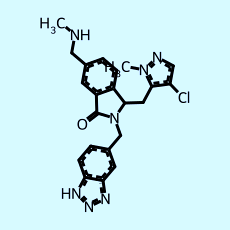 CNCc1ccc2c(c1)C(=O)N(Cc1ccc3[nH]nnc3c1)C2Cc1c(Cl)cnn1C